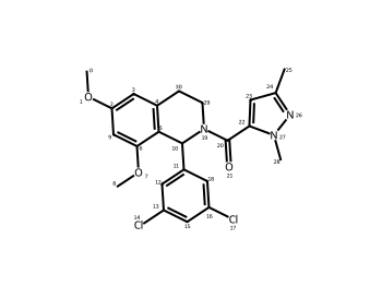 COc1cc2c(c(OC)c1)C(c1cc(Cl)cc(Cl)c1)N(C(=O)c1cc(C)nn1C)CC2